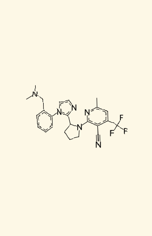 Cc1cc(C(F)(F)F)c(C#N)c(N2CCCC2c2nccn2-c2ccccc2CN(C)C)n1